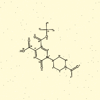 CC(=O)N1CCC(n2cc(C(=O)OC(C)(C)C)c(C(=O)O)cc2=O)CC1